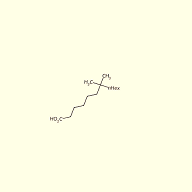 CCCCCCC(C)(C)CCCCCC(=O)O